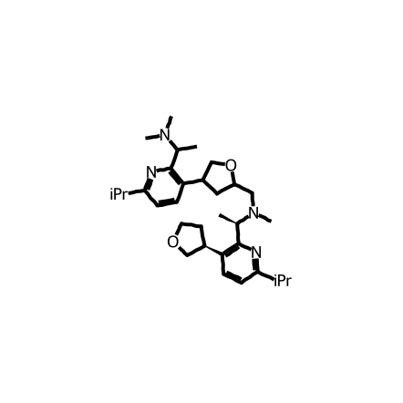 CC(C)c1ccc(C2COC(CN(C)[C@H](C)c3nc(C(C)C)ccc3[C@@H]3CCOC3)C2)c(C(C)N(C)C)n1